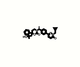 C[C@@H](c1ccc(-c2ccc(=O)n(CC3CC3)n2)cc1)N1CCC(CC(C)(C)O)(c2ccccc2)OC1=O